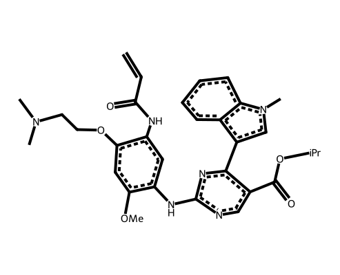 C=CC(=O)Nc1cc(Nc2ncc(C(=O)OC(C)C)c(-c3cn(C)c4ccccc34)n2)c(OC)cc1OCCN(C)C